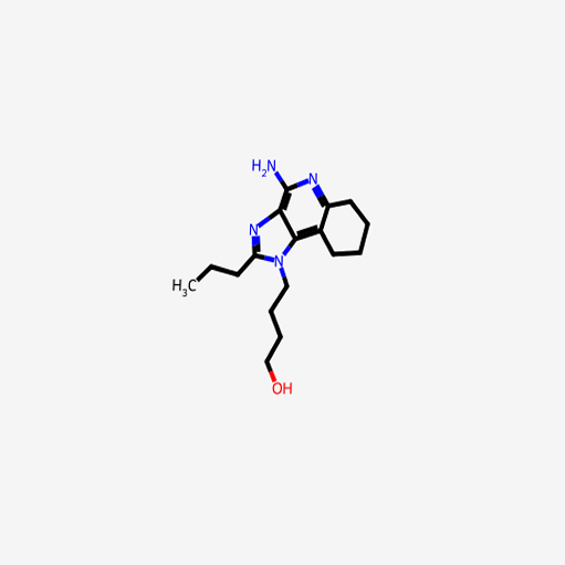 CCCc1nc2c(N)nc3c(c2n1CCCCO)CCCC3